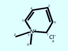 C[N+]1(C)C=CC=CC1.[Cl-]